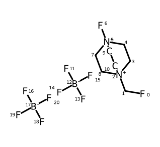 FC[N+]12CC[N+](F)(CC1)CC2.F[B-](F)(F)F.F[B-](F)(F)F